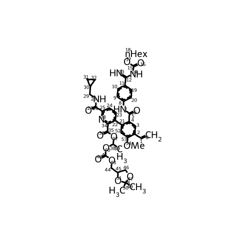 C=Cc1cc(C(=O)Nc2ccc(C(=N)NC(=O)OCCCCCC)cc2)c(-c2ccc(C(=O)NCC3CC3)nc2C(=O)OC(C)OC(=O)OCC2COC(C)(C)O2)cc1OC